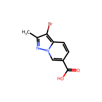 Cc1nn2cc(C(=O)O)ccc2c1Br